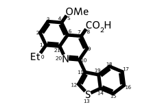 CCc1ccc(OC)c2c(C(=O)O)cc(-c3csc4ccccc34)nc12